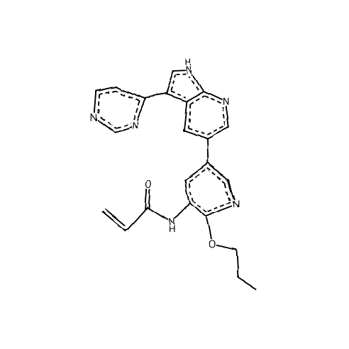 C=CC(=O)Nc1cc(-c2cnc3[nH]cc(-c4ccncn4)c3c2)cnc1OCCC